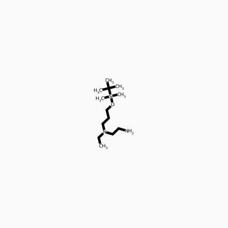 CCN(CCN)CCCO[Si](C)(C)C(C)(C)C